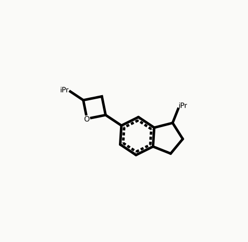 CC(C)C1CC(c2ccc3c(c2)C(C(C)C)CC3)O1